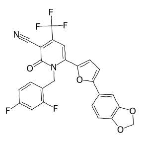 N#Cc1c(C(F)(F)F)cc(-c2ccc(-c3ccc4c(c3)OCO4)o2)n(Cc2ccc(F)cc2F)c1=O